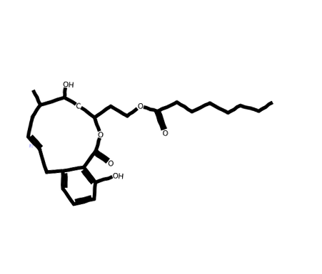 CCCCCCCC(=O)OCCC1CC(O)C(C)C/C=C/Cc2cccc(O)c2C(=O)O1